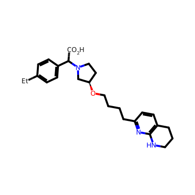 CCc1ccc(C(C(=O)O)N2CC[C@@H](OCCCCc3ccc4c(n3)NCCC4)C2)cc1